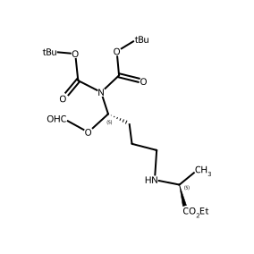 CCOC(=O)[C@H](C)NCCC[C@H](OC=O)N(C(=O)OC(C)(C)C)C(=O)OC(C)(C)C